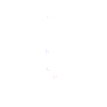 COc1ccc2c(c1)CCN(C(=O)CNCC1(O)CCCCC1)C2C1CCCCC1